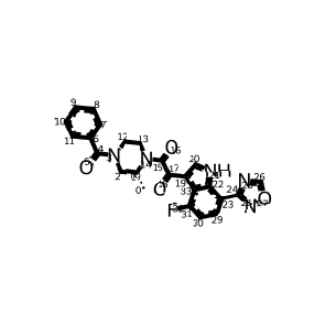 C[C@@H]1CN(C(=O)c2ccccc2)CCN1C(=O)C(=O)c1c[nH]c2c(-c3ncon3)ccc(F)c12